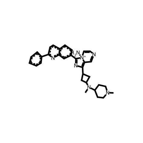 CN1CCC(N(C)C2CC(C3=C4C=NC=C[N+]4(N)C(c4ccc5ccc(-c6ccccc6)nc5c4)=N3)C2)CC1